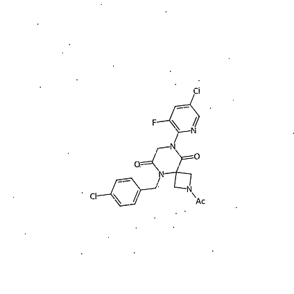 CC(=O)N1CC2(C1)C(=O)N(c1ncc(Cl)cc1F)CC(=O)N2Cc1ccc(Cl)cc1